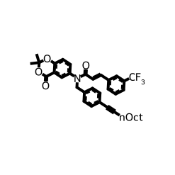 CCCCCCCCC#Cc1ccc(CN(C(=O)C=Cc2cccc(C(F)(F)F)c2)c2ccc3c(c2)C(=O)OC(C)(C)O3)cc1